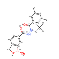 Cc1cc(C)cc(C(=O)N(CC(C)(C)C)NC(=O)c2ccc3c(c2)B(O)OC3)c1